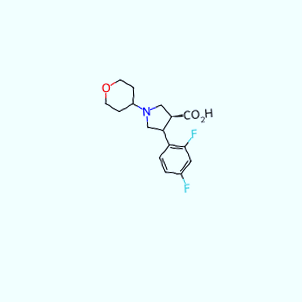 O=C(O)[C@@H]1CN(C2CCOCC2)CC1c1ccc(F)cc1F